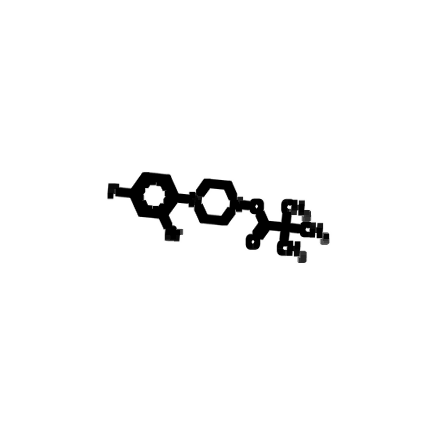 CC(C)(C)C(=O)ON1CCN(c2ccc(F)cc2Br)CC1